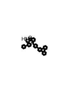 C1=Cc2c(oc3cccc(N(c4ccc(-c5ccccc5)cc4)c4ccc(-c5ccc6c7ccccc7c7ccccc7c6c5)cc4)c23)NC1